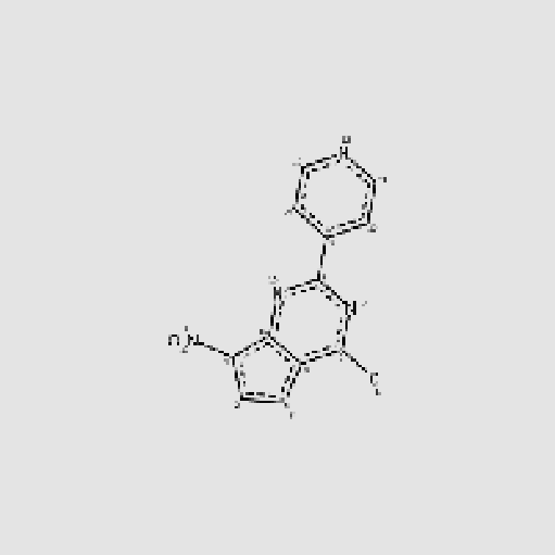 O=[N+]([O-])c1csc2c(Cl)nc(-c3ccncc3)nc12